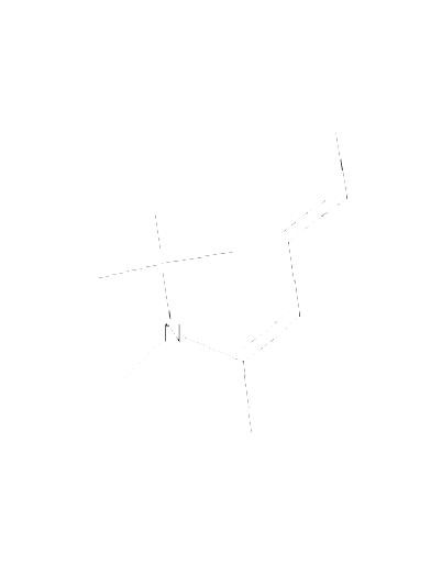 C/C=C/C=C(/C)N(C)C(C)(C)C